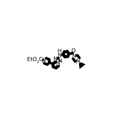 CCOC(=O)N1CC=C(c2cccn3nc(Nc4ccc(C(=O)N5CCN(C6CC6)CC5)cc4)nc23)CC1